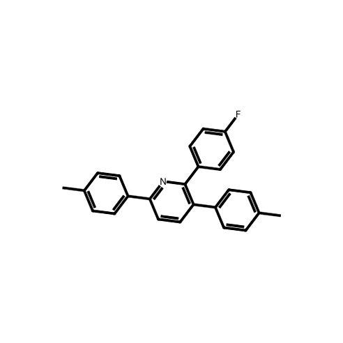 Cc1ccc(-c2ccc(-c3ccc(C)cc3)c(-c3ccc(F)cc3)n2)cc1